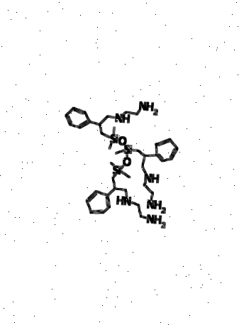 C[Si](C)(CC(CNCCN)c1ccccc1)O[Si](C)(CC(CNCCN)c1ccccc1)O[Si](C)(C)CC(CNCCN)c1ccccc1